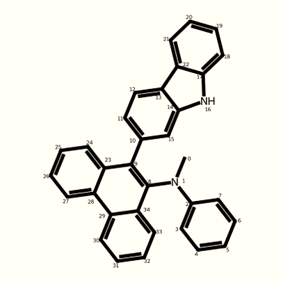 CN(c1ccccc1)c1c(-c2ccc3c(c2)[nH]c2ccccc23)c2ccccc2c2ccccc12